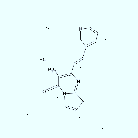 Cc1c(/C=C/c2cccnc2)nc2sccn2c1=O.Cl